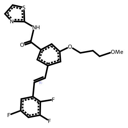 COCCCOc1cc(/C=C/c2cc(F)cc(F)c2F)cc(C(=O)Nc2nccs2)c1